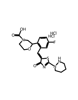 Cl.Cl.O=C1N=C(N2CCCCN2)SC1=Cc1cc(F)ccc1C1CN(C(=O)O)CCO1